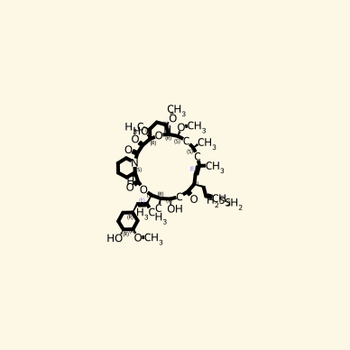 C=CC[C@@H]1/C=C(\C)C[C@H](C)C[C@H](OC)[C@H]2O[C@@](O)(C(=O)C(=O)N3CCCC[C@H]3C(=O)O[C@H](/C(C)=C/[C@@H]3CC[C@@H](O)[C@H](OC)C3)[C@H](C)[C@@H](O)CC1=O)[C@H](C)C[C@@H]2OC.S.S